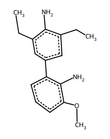 CCc1cc(-c2cccc(OC)c2N)cc(CC)c1N